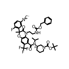 [C-]#[N+]c1ccc(F)c(C2(C)Oc3cc(C(F)(F)F)c(C(=O)N(C(C)C)[C@@H]4CCCN(C(=O)OC(C)(C)C)C4)cc3N(CCNC(=O)OCc3ccccc3)C2=O)c1